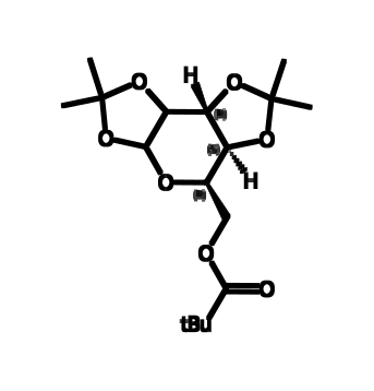 CC1(C)OC2O[C@H](COC(=O)C(C)(C)C)[C@@H]3OC(C)(C)O[C@H]3C2O1